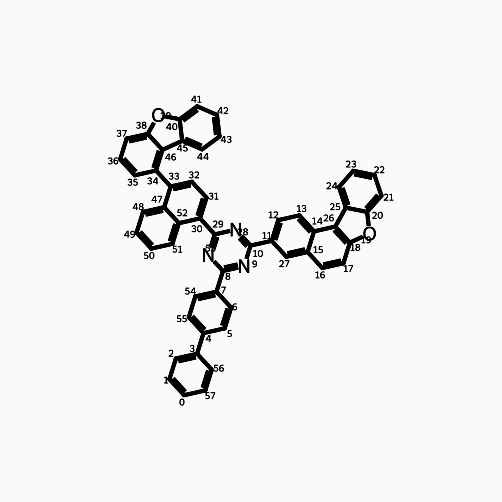 c1ccc(-c2ccc(-c3nc(-c4ccc5c(ccc6oc7ccccc7c65)c4)nc(-c4ccc(-c5cccc6oc7ccccc7c56)c5ccccc45)n3)cc2)cc1